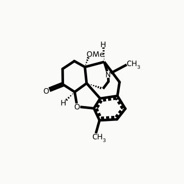 CO[C@@]12CCC(=O)[C@@H]3Oc4c(C)ccc5c4[C@@]31CCN(C)[C@@H]2C5